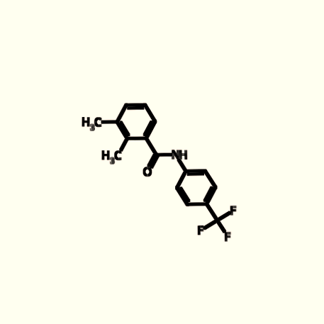 Cc1cccc(C(=O)Nc2ccc(C(F)(F)F)cc2)c1C